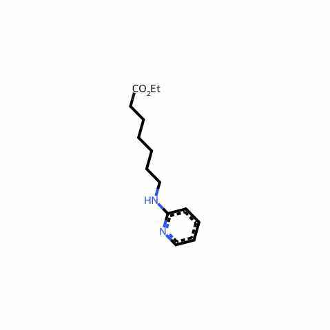 CCOC(=O)CCCCCCNc1ccccn1